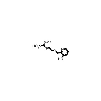 CN/C(=N\CCSCc1ncccc1O)S(=O)(=O)O